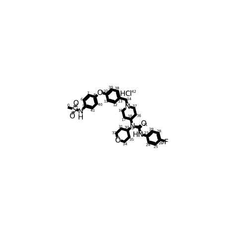 CS(=O)(=O)Nc1ccc(Oc2ccc(CN3CCC(N(C(=O)Nc4ccc(F)cc4)C4CCOCC4)CC3)cc2)cc1.Cl